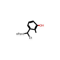 CCCCCC(CC)c1cccc(O)c1C